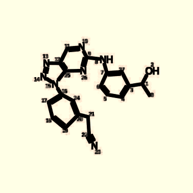 CC(O)c1cccc(Nc2ncc3nnn(-c4cccc(CC#N)c4)c3n2)c1